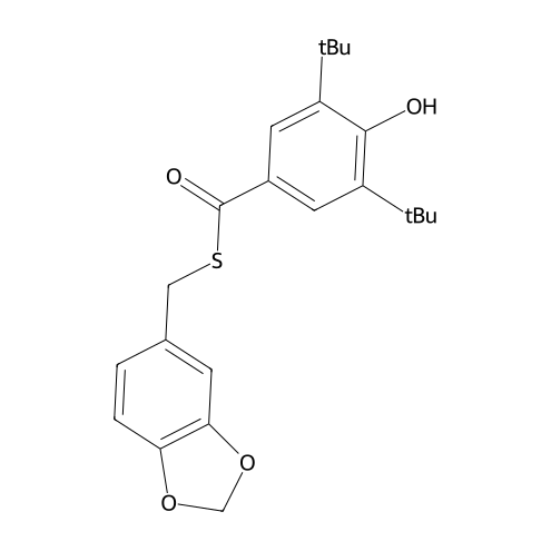 CC(C)(C)c1cc(C(=O)SCc2ccc3c(c2)OCO3)cc(C(C)(C)C)c1O